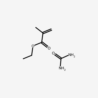 C=C(C)C(=O)OCC.NC(N)=O